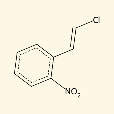 O=[N+]([O-])c1ccccc1C=CCl